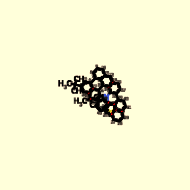 CC(C)(C)c1cc(-c2cccc3cccc(-c4ccccc4N(c4ccc5ccccc5c4)c4ccccc4-c4cccc5sc6ccccc6c45)c23)cc(C(C)(C)C)c1